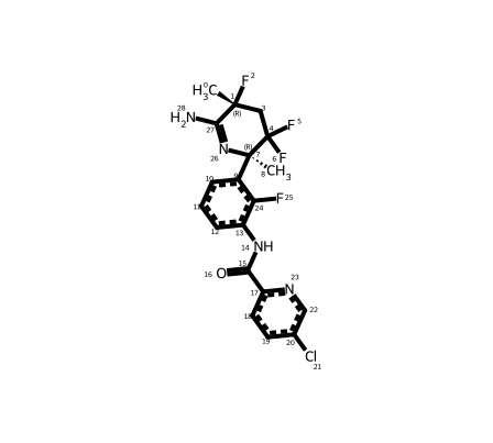 C[C@@]1(F)CC(F)(F)[C@@](C)(c2cccc(NC(=O)c3ccc(Cl)cn3)c2F)N=C1N